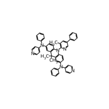 Cc1cc(-c2ccccc2)cnc1N1c2ccc(N(c3ccccc3)c3ccncc3)cc2C(C)(C)c2cc(N(c3ccccc3)c3ccncc3)ccc21